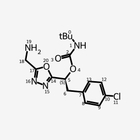 CC(C)(C)NC(=O)O[C@@H](Cc1ccc(Cl)cc1)c1nnc(CN)o1